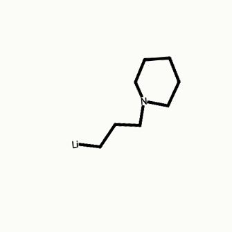 [Li][CH2]CCN1CCCCC1